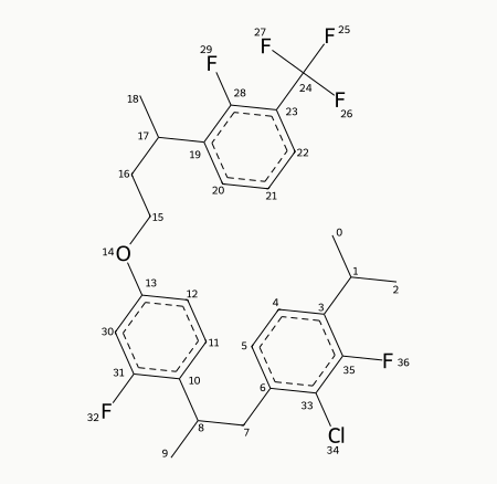 CC(C)c1ccc(CC(C)c2ccc(OCCC(C)c3cccc(C(F)(F)F)c3F)cc2F)c(Cl)c1F